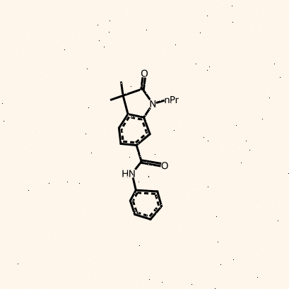 CCCN1C(=O)C(C)(C)c2ccc(C(=O)Nc3ccccc3)cc21